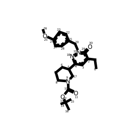 CCc1cc(C2CCCN(C(=O)OC(C)(C)C)C2)nn(Cc2ccc(OC)cc2)c1=O